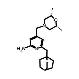 C[C@@H]1CN(Cc2cc(N)nc(CC34CCC(CC3)CC4)c2)C[C@H](C)O1